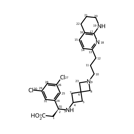 O=C(O)C[C@H](NC1CC2(C1)CN(CCCc1ccc3c(n1)NCCC3)C2)c1cc(Cl)cc(Cl)c1